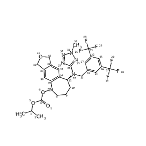 CC(C)OC(=O)ON1CCC[C@H](N(Cc2cc(C(F)(F)F)cc(C(F)(F)F)c2)c2nnn(C)n2)c2cc3c(cc21)COC3